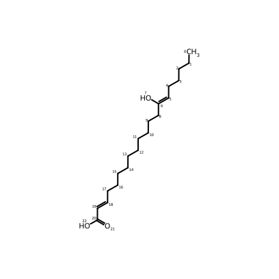 CCCCC/C=C(\O)CCCCCCCCCCC=CC(=O)O